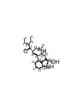 CCN(CC)C(=O)[C@@H]1C=C2c3cccc4[nH]c(O)c(c34)C[C@H]2N(C)C1